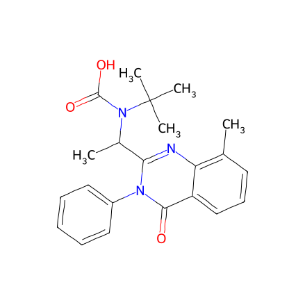 Cc1cccc2c(=O)n(-c3ccccc3)c(C(C)N(C(=O)O)C(C)(C)C)nc12